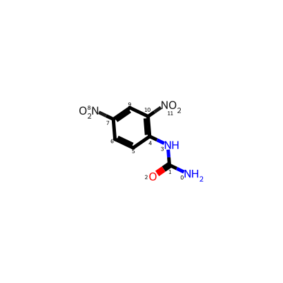 NC(=O)Nc1ccc([N+](=O)[O-])cc1[N+](=O)[O-]